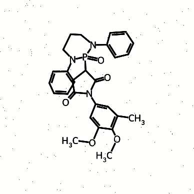 COc1cc(N2C(=O)CC(P3(=O)N(c4ccccc4)CCCN3c3ccccc3)C2=O)cc(C)c1OC